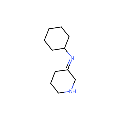 C1CCC(N=C2CCCNC2)CC1